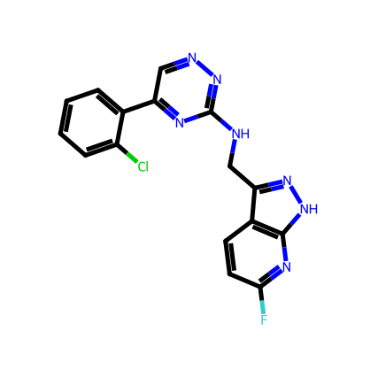 Fc1ccc2c(CNc3nncc(-c4ccccc4Cl)n3)n[nH]c2n1